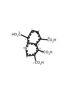 O=C(O)c1cnc2c(C(=O)O)ccc(C(=O)O)c2c1C(=O)O